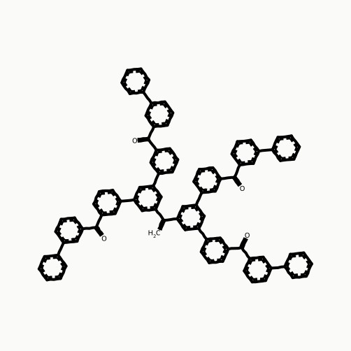 C=C(c1cc(-c2cccc(C(=O)c3cccc(-c4ccccc4)c3)c2)cc(-c2cccc(C(=O)c3cccc(-c4ccccc4)c3)c2)c1)c1cc(-c2cccc(C(=O)c3cccc(-c4ccccc4)c3)c2)cc(-c2cccc(C(=O)c3cccc(-c4ccccc4)c3)c2)c1